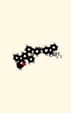 CC1(C)c2ccccc2-c2cc(Nc3ccc4c(c3)c3cccc(-c5ccc6c(c5)-c5ccccc5C65C6CC7CC(C6)CC5C7)c3n4-c3ccccc3)ccc21